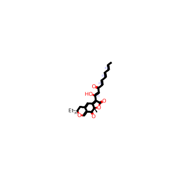 C/C=C/C=C/C=C/C(=O)/C=C(\O)C1=C2C=C3C[C@@H](CC)OC=C3C(=O)[C@@]2(C)OC1=O